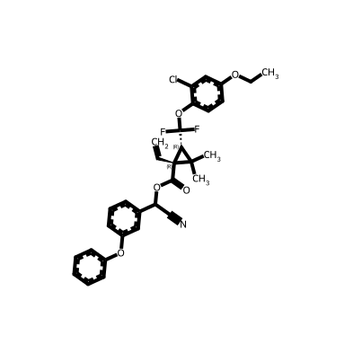 C=C[C@@]1(C(=O)OC(C#N)c2cccc(Oc3ccccc3)c2)[C@H](C(F)(F)Oc2ccc(OCC)cc2Cl)C1(C)C